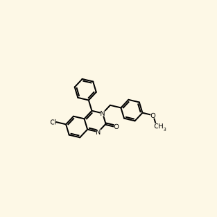 COc1ccc(Cn2c(-c3ccccc3)c3cc(Cl)ccc3nc2=O)cc1